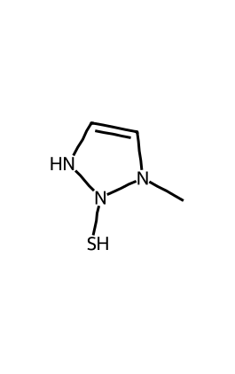 CN1C=CNN1S